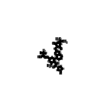 Cc1nc(Cl)cc(-c2ccnc3cc(CN4C(=O)C5C(C4=O)C5(C)C)sc23)c1NC(=O)[C@@H]1CCNC1.O=C(O)C(F)(F)F